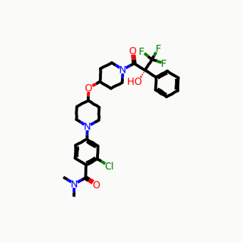 CN(C)C(=O)c1ccc(N2CCC(OC3CCN(C(=O)[C@](O)(c4ccccc4)C(F)(F)F)CC3)CC2)cc1Cl